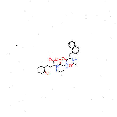 COC(=O)[C@H](CC[C@@H]1CCCCC1=O)NC(=O)[C@H](CC(C)C)NC(=O)[C@H](Cc1cccc2ccccc12)NC(C)=O